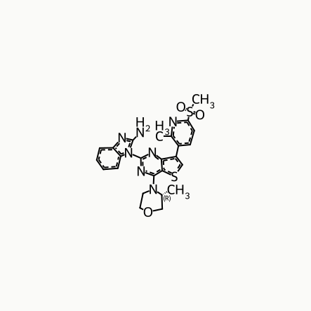 Cc1nc(S(C)(=O)=O)ccc1-c1csc2c(N3CCOC[C@H]3C)nc(-n3c(N)nc4ccccc43)nc12